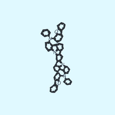 c1ccc(N(c2cccc3c2oc2ccccc23)c2cccc3c2c2cccc4c5cc6c(cc5n3c42)c2cccc3c4c(N(c5ccccc5)c5cccc7c5oc5ccccc57)cccc4n6c23)cc1